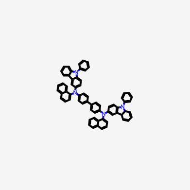 C1=CC2c3cc(N(c4ccc(-c5ccc(N(c6ccc7c(c6)c6ccccc6n7-c6ccccc6)c6cccc7ccccc67)cc5)cc4)c4cccc5ccccc45)ccc3N(c3ccccc3)C2C=C1